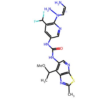 COC(C)c1c(NC(=O)Nc2cnc(N(N)/C=C\N)c(C(F)F)c2)cnc2sc(C)nc12